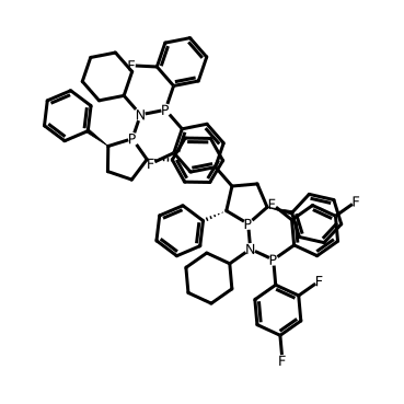 Fc1ccc(P(c2ccc(F)cc2F)N(C2CCCCC2)P2[C@H](c3ccccc3)C(c3ccc(P(c4ccccc4F)N(C4CCCCC4)P4[C@H](c5ccccc5)CC[C@H]4c4ccccc4)c(F)c3)C[C@H]2c2ccccc2)c(F)c1